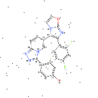 Fc1ccc(-c2nc3occn3c2-c2ccc3nnc(-c4ccc(Br)cc4F)n3c2)c(F)c1